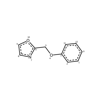 [c]1ccc(OCc2ncco2)cc1